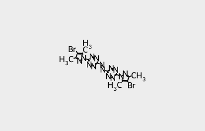 Cc1nn(-c2nnc(N=Nc3nnc(-n4nc(C)c(Br)c4C)nn3)nn2)c(C)c1Br